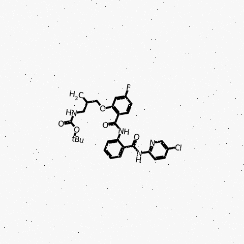 CC(CNC(=O)OC(C)(C)C)COc1cc(F)ccc1C(=O)Nc1ccccc1C(=O)Nc1ccc(Cl)cn1